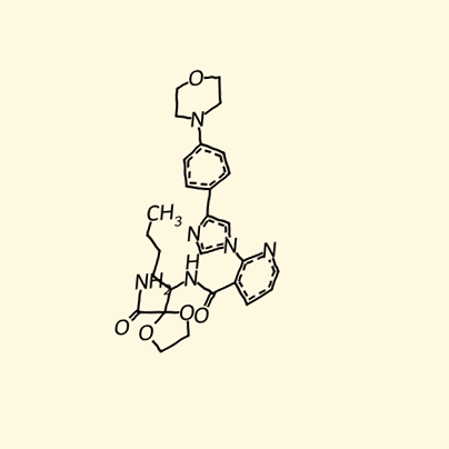 CCCCC(NC(=O)c1cccnc1-n1cnc(-c2ccc(N3CCOCC3)cc2)c1)C1(C(N)=O)OCCO1